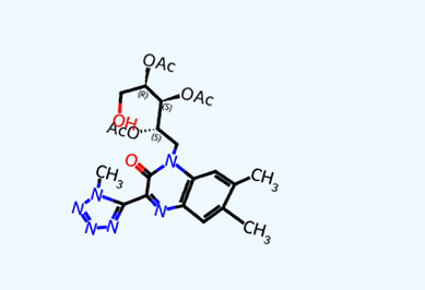 CC(=O)O[C@@H]([C@H](Cn1c(=O)c(-c2nnnn2C)nc2cc(C)c(C)cc21)OC(C)=O)[C@@H](CO)OC(C)=O